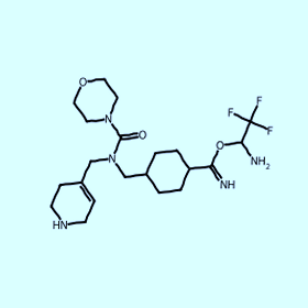 N=C(OC(N)C(F)(F)F)C1CCC(CN(CC2=CCNCC2)C(=O)N2CCOCC2)CC1